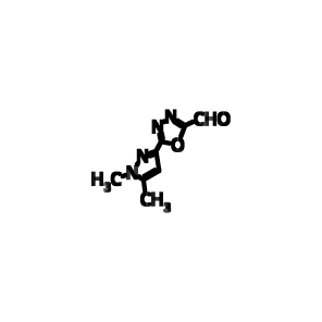 Cc1cc(-c2nnc(C=O)o2)nn1C